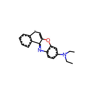 CCN(CC)c1ccc2c(c1)OC1=C[C]c3ccccc3C1=N2